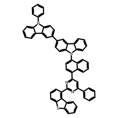 c1ccc(-c2cc(-c3ccc(-n4c5ccccc5c5cc(-c6ccc7c(c6)c6ccccc6n7-c6ccccc6)ccc54)c4ccccc34)nc(-c3cccc4sc5ccccc5c34)n2)cc1